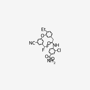 CCc1ccc(CC(=O)Nc2ccc(S(N)(=O)=O)cc2Cl)cc1Oc1cc(C#N)cc(C(F)F)c1